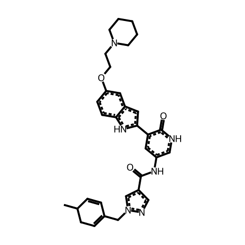 CC1C=CC(Cn2cc(C(=O)Nc3c[nH]c(=O)c(-c4cc5cc(OCCN6CCCCC6)ccc5[nH]4)c3)cn2)=CC1